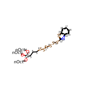 CCCCCCCCO[Si](CCCSSSSSSc1nc2ccccc2s1)(OCCCCCCCC)OCCCCCCCC